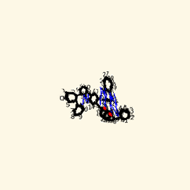 c1ccc2c(c1)-c1ccccc1-n1c3cc4c5ccccc5n(-c5nc6ccccc6nc5-n5c6ccccc6c6ccccc65)c4cc3c3cccc-2c31